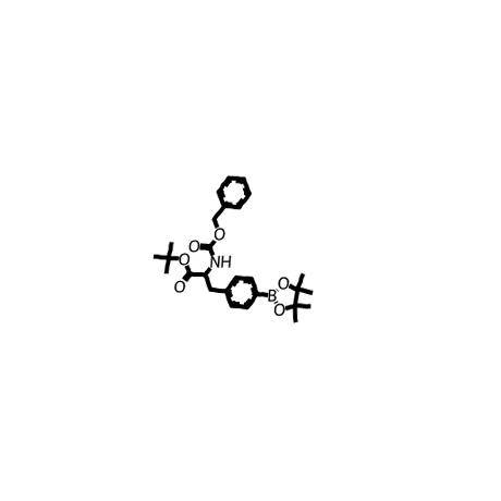 CC(C)(C)OC(=O)C(Cc1ccc(B2OC(C)(C)C(C)(C)O2)cc1)NC(=O)OCc1ccccc1